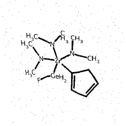 C[N](C)[Zr]([GeH2][F])([C]1=CC=CC1)([N](C)C)[N](C)C